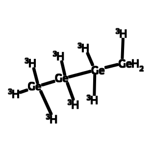 [3H][GeH2][Ge]([3H])([3H])[Ge]([3H])([3H])[Ge]([3H])([3H])[3H]